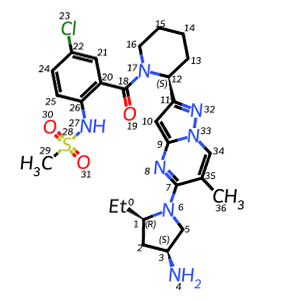 CC[C@@H]1C[C@H](N)CN1c1nc2cc([C@@H]3CCCCN3C(=O)c3cc(Cl)ccc3NS(C)(=O)=O)nn2cc1C